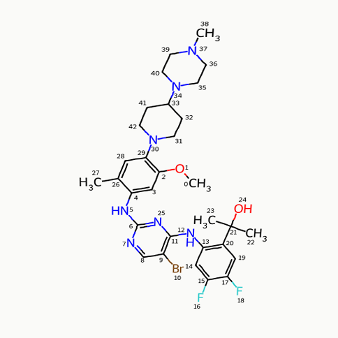 COc1cc(Nc2ncc(Br)c(Nc3cc(F)c(F)cc3C(C)(C)O)n2)c(C)cc1N1CCC(N2CCN(C)CC2)CC1